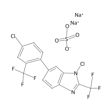 FC(F)(F)c1cc(Cl)ccc1-c1ccc2nc(C(F)(F)F)n(Cl)c2c1.O=S(=O)([O-])[O-].[Na+].[Na+]